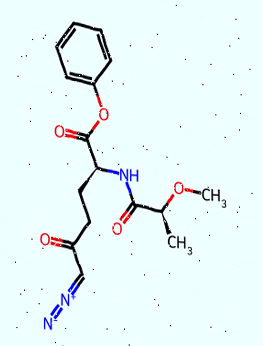 CO[C@@H](C)C(=O)N[C@@H](CCC(=O)C=[N+]=[N-])C(=O)Oc1ccccc1